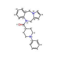 O=C(C1CCN(c2ccccc2)CC1)N1Cc2cccn2Cc2ccccc21